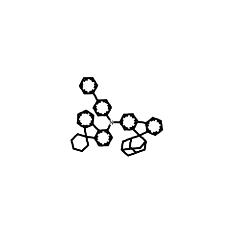 c1ccc(-c2ccc(N(c3ccc4c(c3)C3(c5ccccc5-4)C4CC5CC(C4)CC3C5)c3cccc4c3-c3ccccc3C43CCCCC3)cc2)cc1